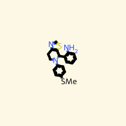 CSc1ccc(N2CCc3ncsc3C2c2ccccc2N)cc1